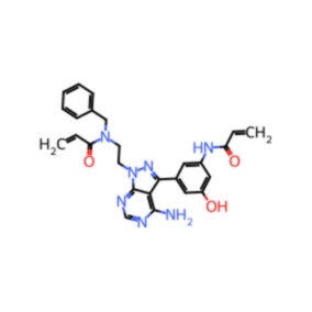 C=CC(=O)Nc1cc(O)cc(-c2nn(CCN(Cc3ccccc3)C(=O)C=C)c3ncnc(N)c23)c1